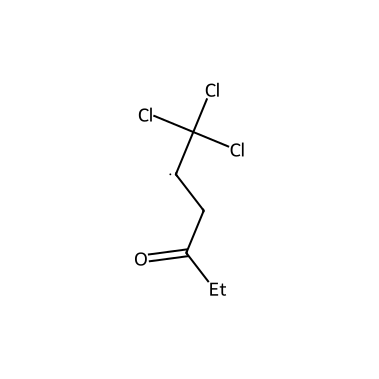 CCC(=O)C[CH]C(Cl)(Cl)Cl